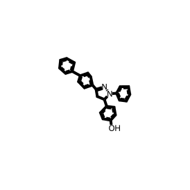 Oc1ccc(C2CC(c3ccc(-c4ccccc4)cc3)=NN2c2ccccc2)cc1